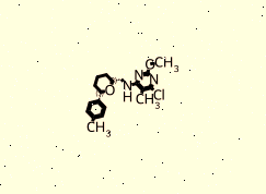 COc1nc(Cl)c(C)c(NC[C@H]2CCC[C@@H](c3ccc(C)cc3)O2)n1